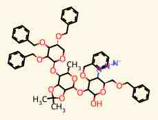 C[C@H]1O[C@@H](OC2C(O)O[C@H](COCc3ccccc3)[C@H](N=[N+]=[N-])C2OCc2ccccc2)C2OC(C)(C)OC2[C@H]1O[C@@H]1OC[C@@H](OCc2ccccc2)C(OCc2ccccc2)C1OCc1ccccc1